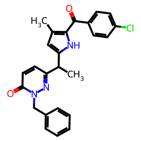 Cc1cc(C(C)c2ccc(=O)n(Cc3ccccc3)n2)[nH]c1C(=O)c1ccc(Cl)cc1